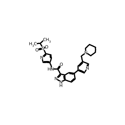 CC(C)S(=O)(=O)c1ccc(NC(=O)c2n[nH]c3ccc(-c4cncc(CN5CCCCC5)c4)cc23)cn1